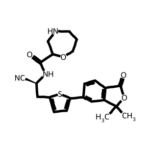 CC1(C)OC(=O)c2ccc(-c3ccc(C[C@@H](C#N)NC(=O)C4CNCCCO4)s3)cc21